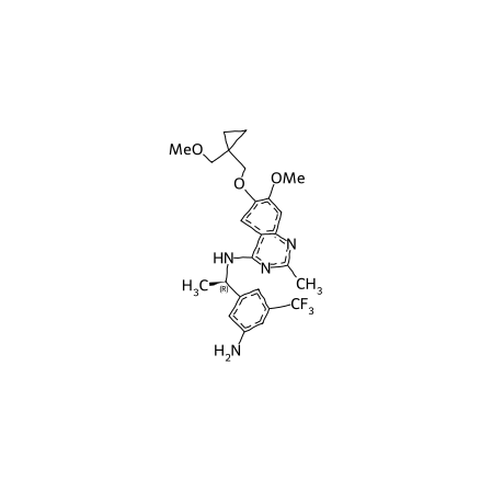 COCC1(COc2cc3c(N[C@H](C)c4cc(N)cc(C(F)(F)F)c4)nc(C)nc3cc2OC)CC1